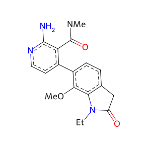 CCN1C(=O)Cc2ccc(-c3ccnc(N)c3C(=O)NC)c(OC)c21